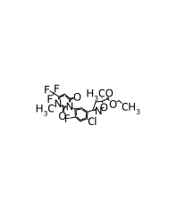 CCOC(=O)[C@]1(C)CC(c2cc(-n3c(=O)cc(C(F)(F)F)n(C)c3=O)c(F)cc2Cl)=NO1